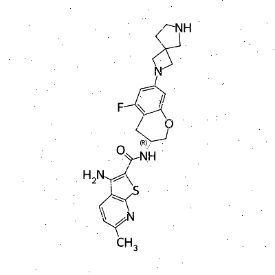 Cc1ccc2c(N)c(C(=O)N[C@H]3COc4cc(N5CC6(CCNC6)C5)cc(F)c4C3)sc2n1